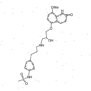 COc1ccc(OCC(O)CNCCCc2ccc(NS(C)(=O)=O)cc2)c2ccc(=O)[nH]c12